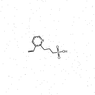 C=Cc1cccnc1CCCS(=O)(=O)O